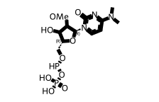 COC1C(O)[C@@H](COPOP(=O)(O)O)O[C@H]1n1ccc(N(C)C)nc1=O